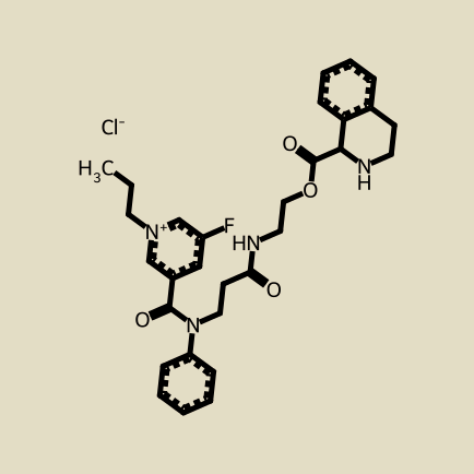 CCC[n+]1cc(F)cc(C(=O)N(CCC(=O)NCCOC(=O)C2NCCc3ccccc32)c2ccccc2)c1.[Cl-]